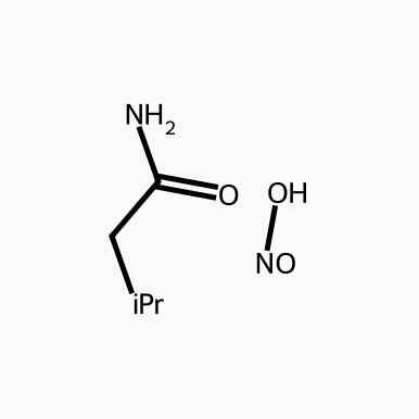 CC(C)CC(N)=O.O=NO